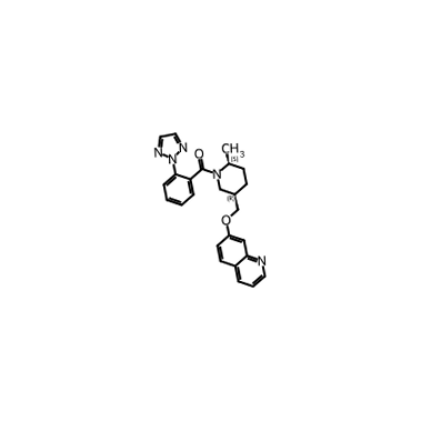 C[C@H]1CC[C@@H](COc2ccc3cccnc3c2)CN1C(=O)c1ccccc1-n1nccn1